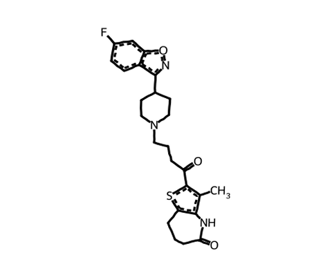 Cc1c(C(=O)CCCN2CCC(c3noc4cc(F)ccc34)CC2)sc2c1NC(=O)CCC2